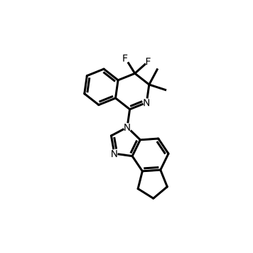 CC1(C)N=C(n2cnc3c4c(ccc32)CCC4)c2ccccc2C1(F)F